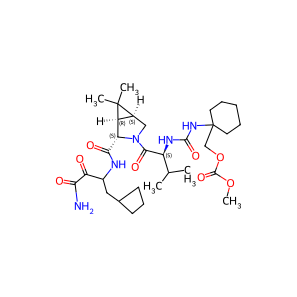 COC(=O)OCC1(NC(=O)N[C@H](C(=O)N2C[C@H]3[C@@H]([C@H]2C(=O)NC(CC2CCC2)C(=O)C(N)=O)C3(C)C)C(C)C)CCCCC1